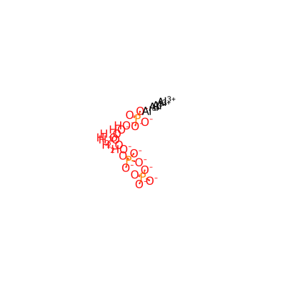 O.O.O.O.O=P([O-])([O-])[O-].O=P([O-])([O-])[O-].O=P([O-])([O-])[O-].[Al+3].[Al+3].[Al+3].[Al+3].[OH-].[OH-].[OH-]